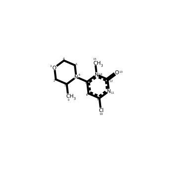 CC1COCCN1c1cc(Cl)nc(=O)n1C